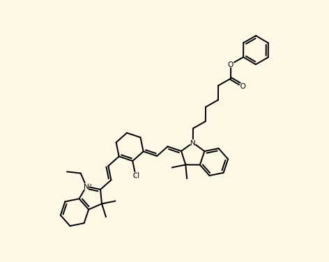 CC[N+]1=C(/C=C/C2=C(Cl)C(=C/C=C3/N(CCCCCC(=O)Oc4ccccc4)c4ccccc4C3(C)C)/CCC2)C(C)(C)C2=C1C=CCC2